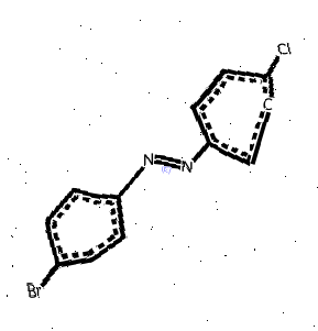 Clc1ccc(/N=N/c2ccc(Br)cc2)cc1